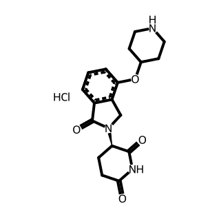 Cl.O=C1CC[C@@H](N2Cc3c(OC4CCNCC4)cccc3C2=O)C(=O)N1